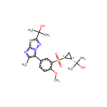 COc1ccc(-c2c(C)nc3sc(C(C)(C)O)nn23)cc1S(=O)(=O)[C@H]1C[C@@H]1C(C)(C)O